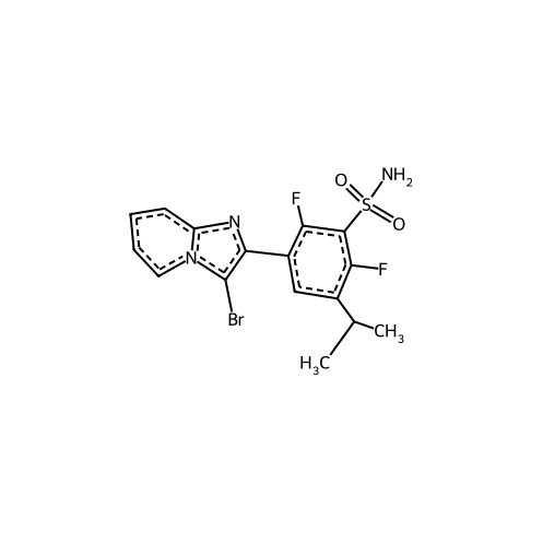 CC(C)c1cc(-c2nc3ccccn3c2Br)c(F)c(S(N)(=O)=O)c1F